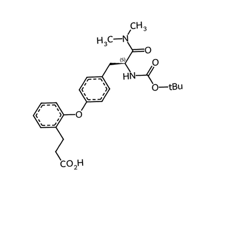 CN(C)C(=O)[C@H](Cc1ccc(Oc2ccccc2CCC(=O)O)cc1)NC(=O)OC(C)(C)C